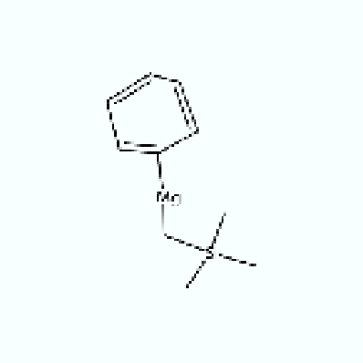 C[Si](C)(C)[CH2][Mg][c]1ccccc1